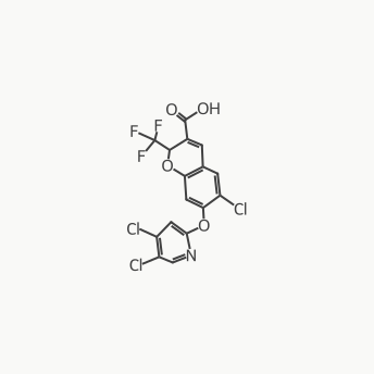 O=C(O)C1=Cc2cc(Cl)c(Oc3cc(Cl)c(Cl)cn3)cc2OC1C(F)(F)F